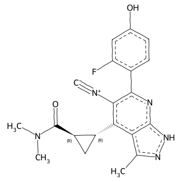 [C-]#[N+]c1c(-c2ccc(O)cc2F)nc2[nH]nc(C)c2c1[C@@H]1C[C@H]1C(=O)N(C)C